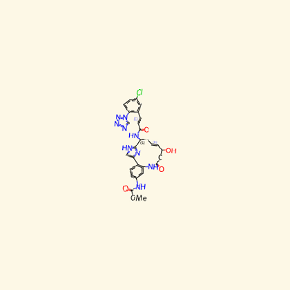 COC(=O)Nc1ccc2c(c1)NC(=O)CC(O)/C=C/C[C@H](NC(=O)/C=C/c1cc(Cl)ccc1-n1cnnn1)c1nc-2c[nH]1